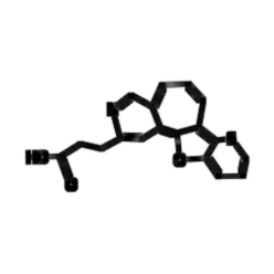 O=C(O)CCc1cc2c(cn1)=CC=Cc1c3c(oc1=2)=CC=CS3